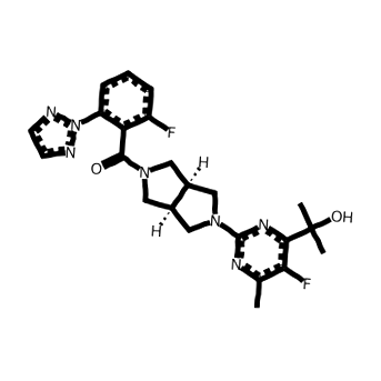 Cc1nc(N2C[C@H]3CN(C(=O)c4c(F)cccc4-n4nccn4)C[C@H]3C2)nc(C(C)(C)O)c1F